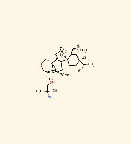 C=C[C@@]1(C)[C@H](C(=O)O)[C@@](C)([C@H](C)C(C)C)CC[C@]1(C)[C@H]1CC[C@@H]2[C@@]3(COC[C@]2(C)[C@@H](OCC(C)(C)N)[C@H](OC(C)=O)C3)/C1=C/C